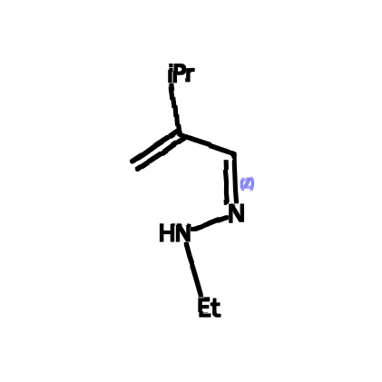 C=C(/C=N\NCC)C(C)C